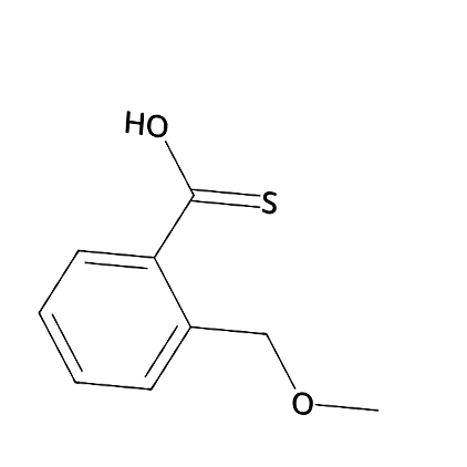 COCc1ccccc1C(O)=S